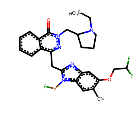 N#Cc1cc2c(cc1OCC(F)F)nc(Cc1nn(CC3CCCN3CC(=O)O)c(=O)c3ccccc13)n2SF